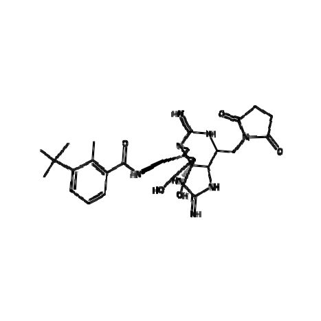 Cc1c(C(=O)N[C@H]2CN3C(=N)NC(CN4C(=O)CCC4=O)C4NC(=N)N[C@]43C2(O)O)cccc1C(C)(C)C